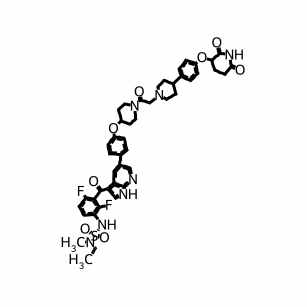 CCN(C)S(=O)(=O)Nc1ccc(F)c(C(=O)c2c[nH]c3ncc(-c4ccc(OC5CCN(C(=O)CN6CCC(c7ccc(OC8CCC(=O)NC8=O)cc7)CC6)CC5)cc4)cc23)c1F